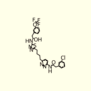 O=C(Cc1cccc(Cl)c1)Nc1ccc(CCCCc2nnc(NC(O)Cc3cccc(OC(F)(F)F)c3)s2)nn1